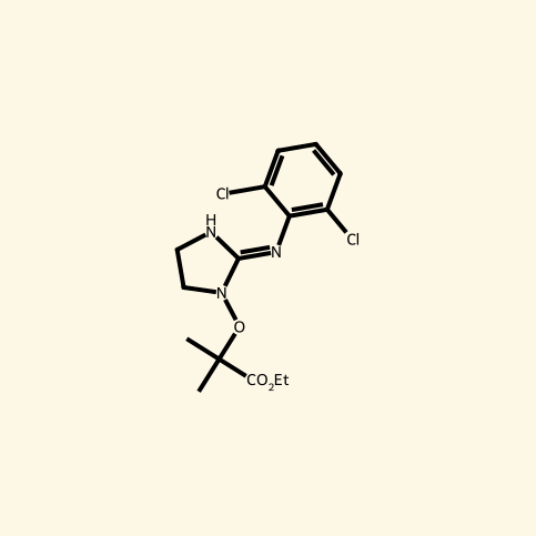 CCOC(=O)C(C)(C)ON1CCN/C1=N\c1c(Cl)cccc1Cl